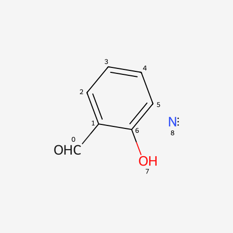 O=Cc1ccccc1O.[N]